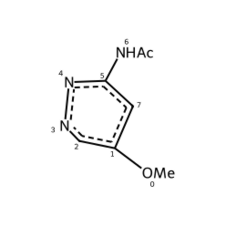 COc1cnnc(NC(C)=O)c1